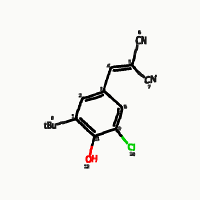 CC(C)(C)c1cc(C=C(C#N)C#N)cc(Cl)c1O